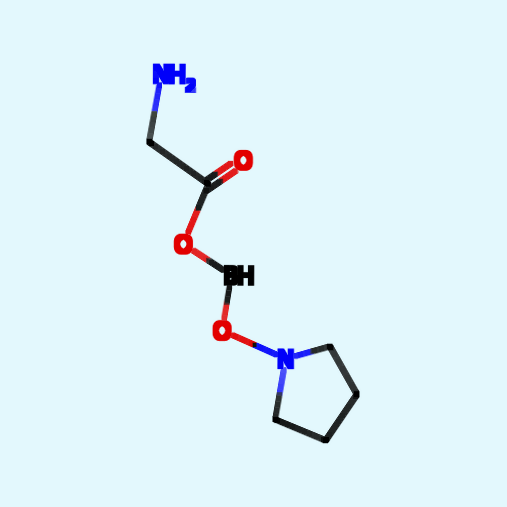 NCC(=O)OBON1CCCC1